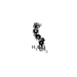 CN(C)C(=O)c1ccc2c(c1)CCN2c1ccc(OC2CCN(C(=O)OC(C)(C)C)CC2)cn1